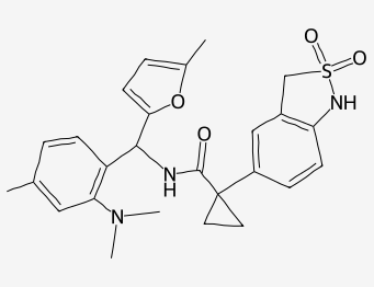 Cc1ccc(C(NC(=O)C2(c3ccc4c(c3)CS(=O)(=O)N4)CC2)c2ccc(C)o2)c(N(C)C)c1